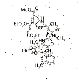 CCOC(=O)CC[C@@H](NC(=O)[C@@H](CCC(=O)OC)NC(=O)/C(C)=C/[C@H](C(C)C)N(C)C(=O)[C@@H](NC(=O)[C@@H](N(C)C(=O)OC(C)(C)C)C(C)(C)c1cn(C)c2ccccc12)C(C)(C)C)C(=O)OCC